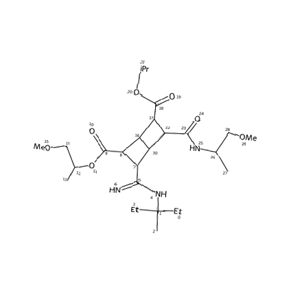 CCC(C)(CC)NC(=N)C1C(C(=O)OC(C)COC)C2C(C(=O)OC(C)C)C(C(=O)NC(C)COC)C12